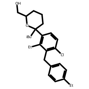 CCc1ccc(Cc2c(Cl)ccc(C3(C(C)CC)CCCC(CO)O3)c2CC)cc1